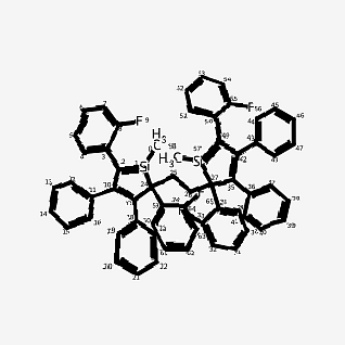 C[Si]1=C(c2ccccc2F)C(c2ccccc2)=C(c2ccccc2)C1(CCC1(c2ccccc2F)C(c2ccccc2)=C(c2ccccc2)C(c2ccccc2F)=[Si]1C)c1ccccc1F